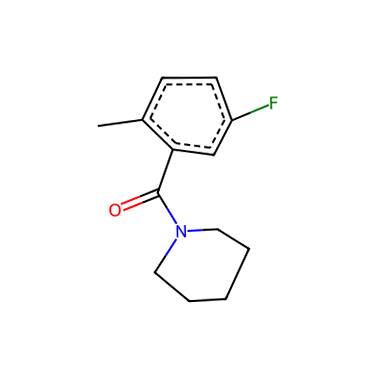 Cc1ccc(F)cc1C(=O)N1CCCCC1